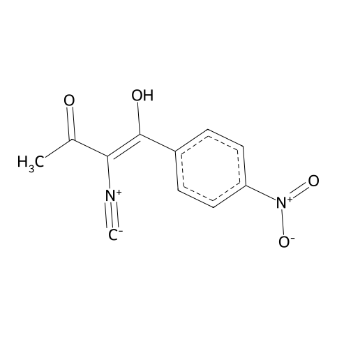 [C-]#[N+]/C(C(C)=O)=C(/O)c1ccc([N+](=O)[O-])cc1